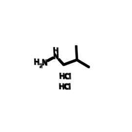 CC(C)CNN.Cl.Cl